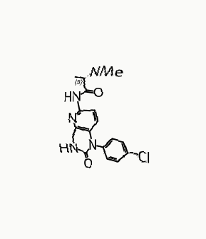 CN[C@@H](C)C(=O)Nc1ccc2c(n1)CNC(=O)N2c1ccc(Cl)cc1